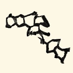 C=C(c1cc2c(cc1C)OCO2)c1sccc1S(=O)(=O)Nc1ccc2nsnc2c1